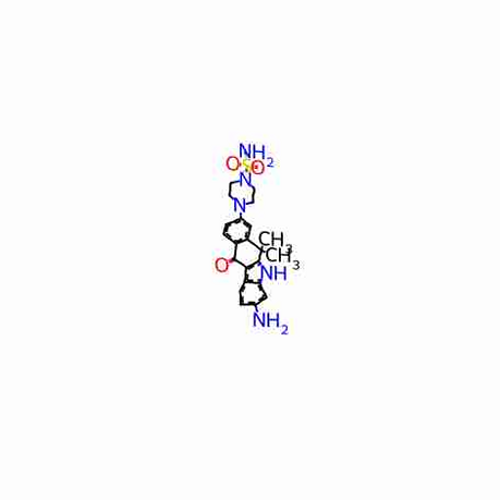 CC1(C)c2cc(N3CCN(S(N)(=O)=O)CC3)ccc2C(=O)c2c1[nH]c1cc(N)ccc21